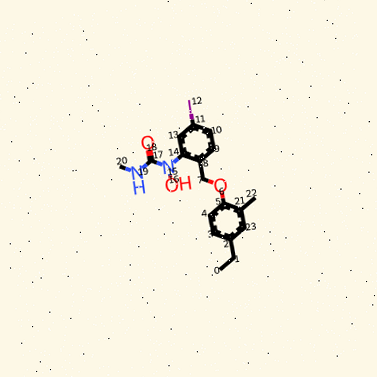 CCc1ccc(OCc2ccc(I)cc2N(O)C(=O)NC)c(C)c1